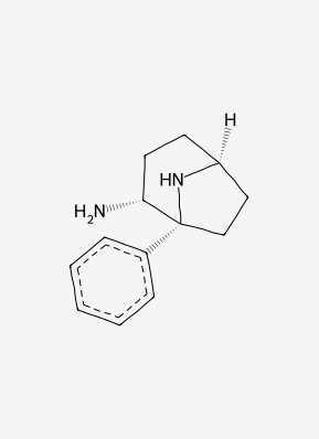 N[C@@H]1CC[C@H]2CC[C@]1(c1ccccc1)N2